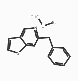 CCOC=O.c1ccc(Cc2cc3sccc3cn2)cc1